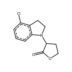 O=C1OCCC1N1CCc2c(Cl)cccc21